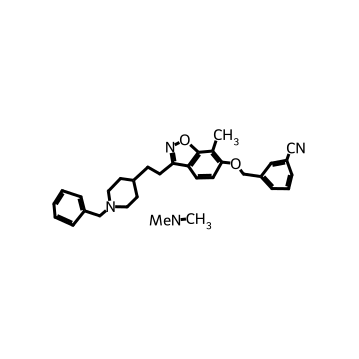 CNC.Cc1c(OCc2cccc(C#N)c2)ccc2c(CCC3CCN(Cc4ccccc4)CC3)noc12